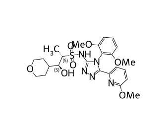 COc1cccc(-c2nnc(NS(=O)(=O)[C@@H](C)[C@@H](O)C3CCOCC3)n2-c2c(OC)cccc2OC)n1